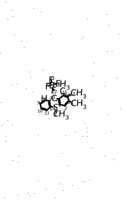 Cc1cc([S+](C)c2ccccc2)c(C)c(C)c1C.F[B-](F)(F)F